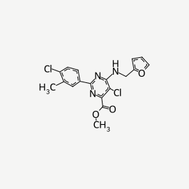 COC(=O)c1nc(-c2ccc(Cl)c(C)c2)nc(NCc2ccco2)c1Cl